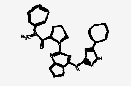 CN(C(=O)C1CCCN1c1nc2c(c(Nc3cc(C4CCCCC4)[nH]n3)n1)CCC2)c1ccccc1